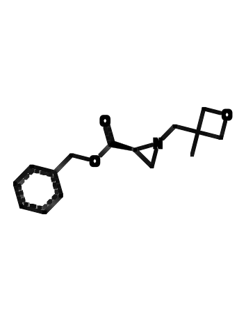 CC1(CN2C[C@H]2C(=O)OCc2ccccc2)COC1